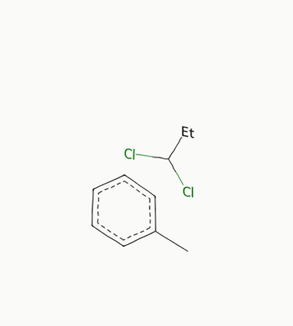 CCC(Cl)Cl.Cc1ccccc1